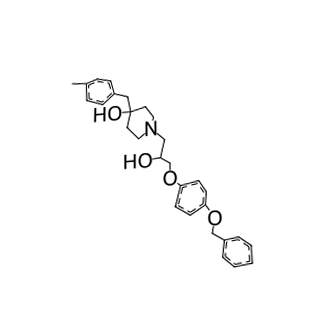 Cc1ccc(CC2(O)CCN(CC(O)COc3ccc(OCc4ccccc4)cc3)CC2)cc1